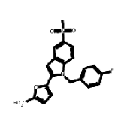 CS(=O)(=O)c1ccc2c(c1)cc(-c1ccc(C(=O)O)o1)n2Cc1ccc(F)cc1